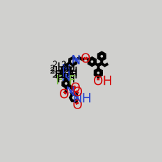 [2H]C1([2H])N(CC2CCN(CCOc3ccc(C(=C(CC)c4ccccc4)c4ccc(O)cc4)cc3)CC2)C([2H])([2H])C([2H])([2H])N(c2c(F)cc3c(c2F)C(=O)N(C2CCC(=O)NC2=O)C3=O)C1([2H])[2H]